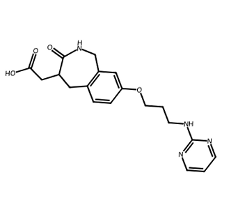 O=C(O)CC1Cc2ccc(OCCCNc3ncccn3)cc2CNC1=O